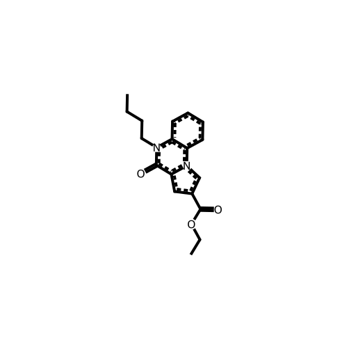 CCCCn1c(=O)c2cc(C(=O)OCC)cn2c2ccccc21